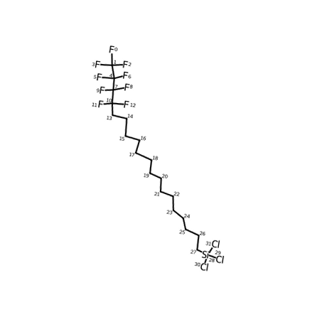 FC(F)(F)C(F)(F)C(F)(F)C(F)(F)CCCCCCCCCCCCCCC[Si](Cl)(Cl)Cl